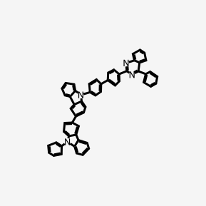 c1ccc(-c2nc(-c3ccc(-c4ccc(-n5c6ccccc6c6cc(-c7ccc8c(c7)c7ccccc7n8-c7ccccc7)ccc65)cc4)cc3)nc3ccccc23)cc1